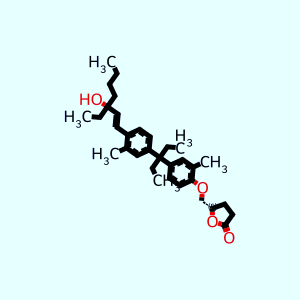 CCCCC(O)(C=Cc1ccc(C(CC)(CC)c2ccc(OC[C@@H]3CCC(=O)O3)c(C)c2)cc1C)CC